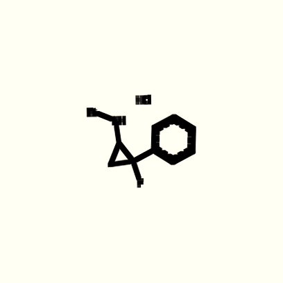 CCNC1CC1(F)c1ccccc1.Cl